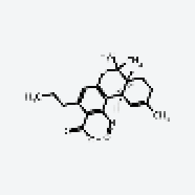 CCCc1cc2c(c(N=O)c1C(=O)O)[C@@H]1C=C(C)CC[C@H]1C(C)(C)O2